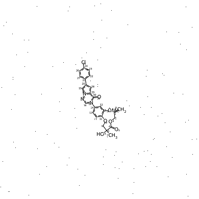 C=CCOC(=O)C(C)(O)COc1ccc(-n2cnn3cc(-c4ccc(Cl)cc4)cc3c2=O)cc1OC